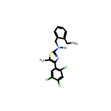 CCCN(Cc1ccccc1COC)c1nc(-c2cc(Cl)c(Cl)cc2Cl)c(C)s1